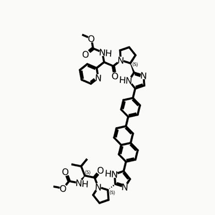 COC(=O)NC(C(=O)N1CCC[C@H]1c1ncc(-c2ccc(-c3ccc4cc(-c5cnc([C@@H]6CCCN6C(=O)[C@@H](NC(=O)OC)C(C)C)[nH]5)ccc4c3)cc2)[nH]1)c1ccccn1